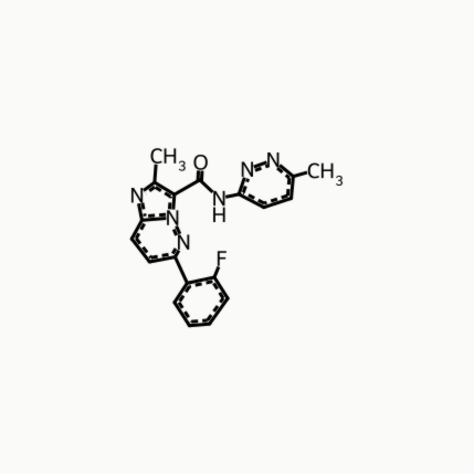 Cc1ccc(NC(=O)c2c(C)nc3ccc(-c4ccccc4F)nn23)nn1